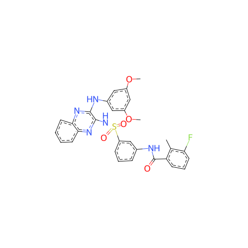 COc1cc(Nc2nc3ccccc3nc2NS(=O)(=O)c2cccc(NC(=O)c3cccc(F)c3C)c2)cc(OC)c1